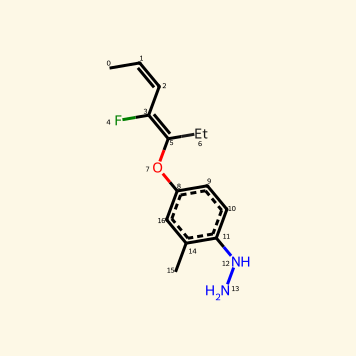 C/C=C\C(F)=C(/CC)Oc1ccc(NN)c(C)c1